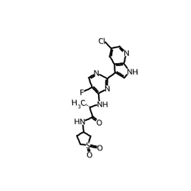 C[C@H](Nc1nc(-c2c[nH]c3ncc(Cl)cc23)ncc1F)C(=O)NC1CCS(=O)(=O)C1